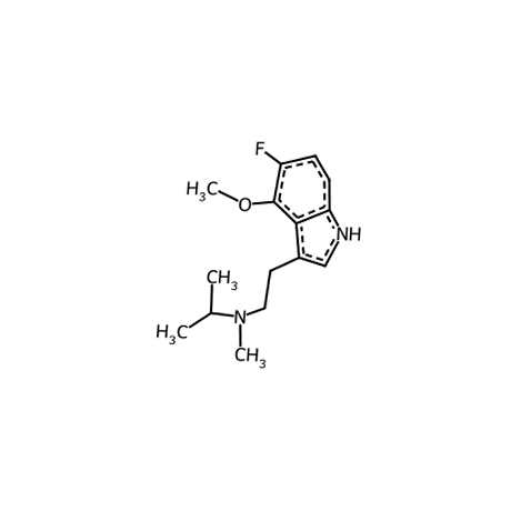 COc1c(F)ccc2[nH]cc(CCN(C)C(C)C)c12